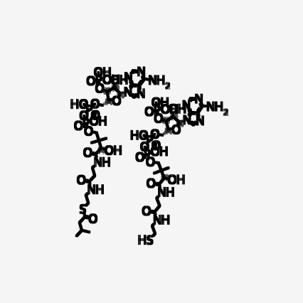 CC(C)(COP(=O)(O)OP(=O)(O)OC[C@H]1O[C@@H](n2cnc3c(N)ncnc32)[C@H](O)[C@@H]1OP(=O)(O)O)[C@@H](O)C(=O)NCCC(=O)NCCS.CC(C)CC(=O)SCCNC(=O)CCNC(=O)[C@H](O)C(C)(C)COP(=O)(O)OP(=O)(O)OC[C@H]1O[C@@H](n2cnc3c(N)ncnc32)[C@H](O)[C@@H]1OP(=O)(O)O